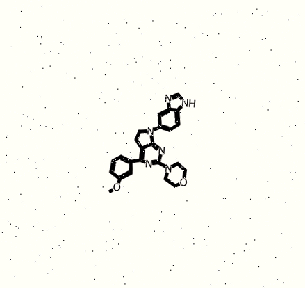 COc1cccc(-c2nc(N3CCOCC3)nc3c2CCN3c2ccc3[nH]cnc3c2)c1